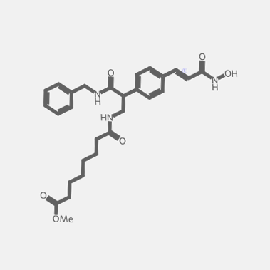 COC(=O)CCCCCCC(=O)NCC(C(=O)NCc1ccccc1)c1ccc(/C=C/C(=O)NO)cc1